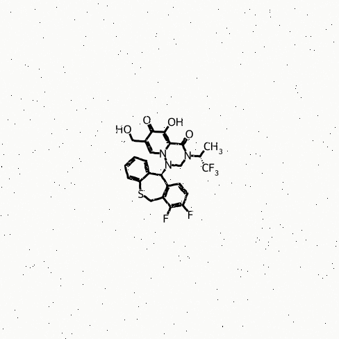 C[C@@H](N1CN([C@@H]2c3ccccc3SCc3c2ccc(F)c3F)n2cc(CO)c(=O)c(O)c2C1=O)C(F)(F)F